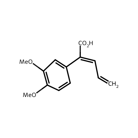 C=C/C=C(/C(=O)O)c1ccc(OC)c(OC)c1